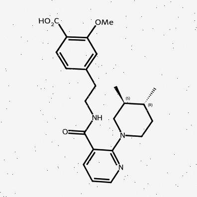 COc1cc(CCNC(=O)c2cccnc2N2CC[C@@H](C)[C@H](C)C2)ccc1C(=O)O